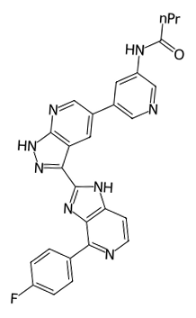 CCCC(=O)Nc1cncc(-c2cnc3[nH]nc(-c4nc5c(-c6ccc(F)cc6)nccc5[nH]4)c3c2)c1